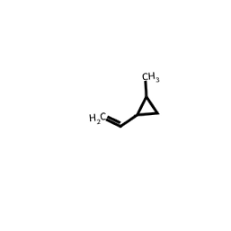 C=C[C]1CC1C